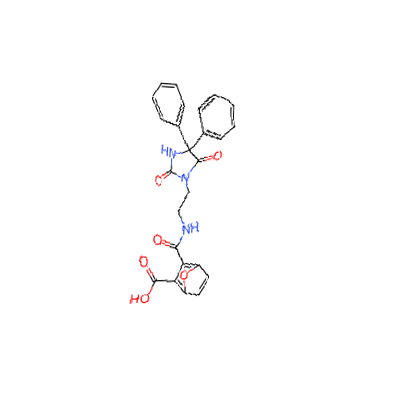 O=C(O)c1c(C(=O)NCCN2C(=O)NC(c3ccccc3)(c3ccccc3)C2=O)c2ccc1o2